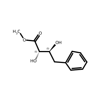 COC(=O)[C@@H](O)[C@@H](O)Cc1ccccc1